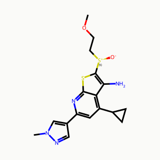 COCC[S@@+]([O-])c1sc2nc(-c3cnn(C)c3)cc(C3CC3)c2c1N